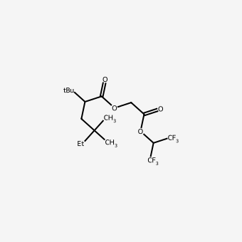 CCC(C)(C)CC(C(=O)OCC(=O)OC(C(F)(F)F)C(F)(F)F)C(C)(C)C